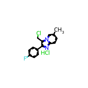 Cc1ccc2nc(-c3ccc(F)cc3)c(CCl)n2c1.Cl